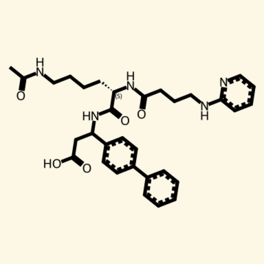 CC(=O)NCCCC[C@H](NC(=O)CCCNc1ccccn1)C(=O)NC(CC(=O)O)c1ccc(-c2ccccc2)cc1